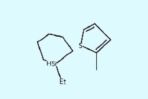 CC[SiH]1CCCCC1.Cc1cccs1